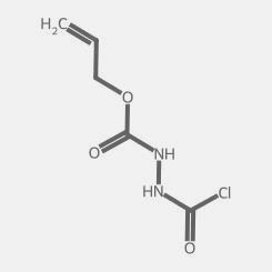 C=CCOC(=O)NNC(=O)Cl